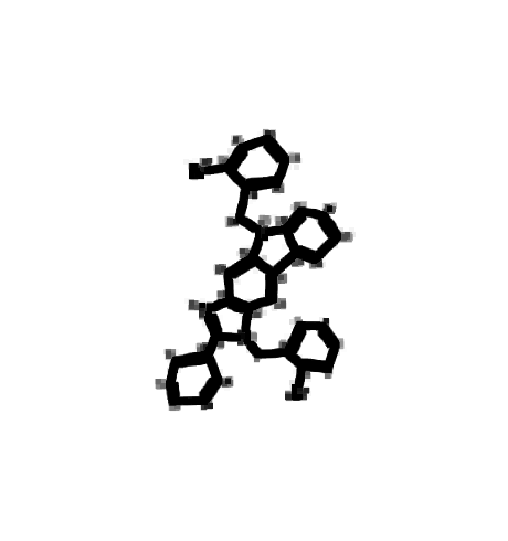 Brc1ccccc1Cn1c(-c2ccccc2)nc2cc3c(cc21)c1ccccc1n3Cc1ccccc1Br